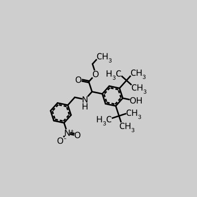 CCOC(=O)C(NCc1cccc([N+](=O)[O-])c1)c1cc(C(C)(C)C)c(O)c(C(C)(C)C)c1